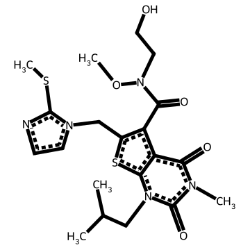 CON(CCO)C(=O)c1c(Cn2ccnc2SC)sc2c1c(=O)n(C)c(=O)n2CC(C)C